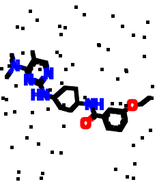 CCOc1cccc(C(=O)NC2CCC(Nc3ncc(C)c(N(C)C)n3)CC2)c1